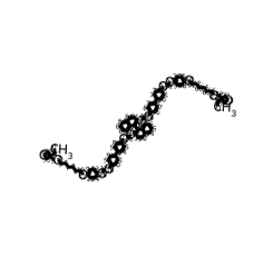 CCC1(COCCCCCCOc2ccc(OCOc3ccc(-c4ccc(OCOc5ccc6ccccc6c5-c5c(OCOc6ccc(-c7ccc(OCOc8ccc(OCCCCCCOCC9(CC)COC9)cc8)cc7)cc6)ccc6ccccc56)cc4)cc3)cc2)COC1